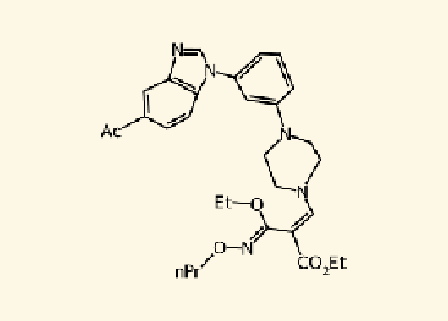 CCCON=C(OCC)C(=CN1CCN(c2cccc(-n3cnc4cc(C(C)=O)ccc43)c2)CC1)C(=O)OCC